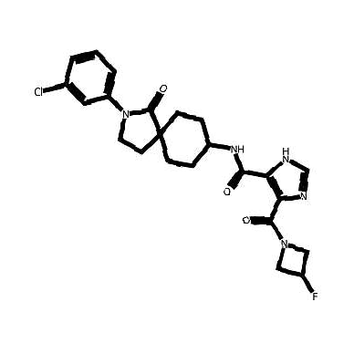 O=C(NC1CCC2(CC1)CCN(c1cccc(Cl)c1)C2=O)c1[nH]cnc1C(=O)N1CC(F)C1